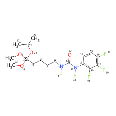 CO[Si](CCCCN(F)C(=O)N(F)c1ccc(F)c(F)c1F)(OC)OC(C)C